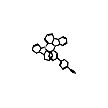 N#CC1=CC=C(C2=CC(N3C4C=CC=CC4C4C=CC=C(N5C6=CC=CCC6C6CCC=CC65)C43)CC=C2)CC1